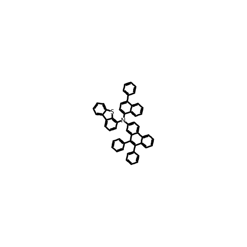 c1ccc(-c2ccc(N(c3ccc4c(c3)c(-c3ccccc3)c(-c3ccccc3)c3ccccc34)c3cccc4c3sc3ccccc34)c3ccccc23)cc1